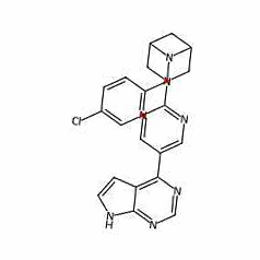 Clc1ccc(CN2C3CC2CN(c2ccc(-c4ncnc5[nH]ccc45)cn2)C3)nc1